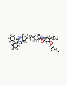 C=CCOc1cc2oc(-c3ccc(/C=C/c4ccc5nc(-c6ccccc6)c(-c6ccccc6)nc5c4)cc3)nc2cc1C(C)(C)C